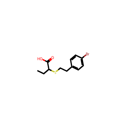 CCC(SCCc1ccc(Br)cc1)C(=O)O